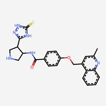 Cc1cc(COc2ccc(C(=O)NC3CNCC3c3n[nH]c(=S)[nH]3)cc2)c2ccccc2n1